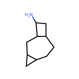 NC1CC2CCC3CC3CC12